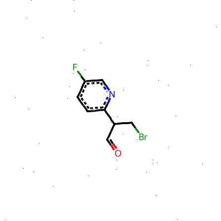 O=CC(CBr)c1ccc(F)cn1